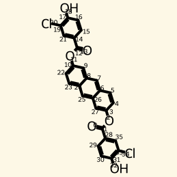 O=C(Oc1ccc2cc3cc(OC(=O)c4ccc(O)c(Cl)c4)ccc3cc2c1)c1ccc(O)c(Cl)c1